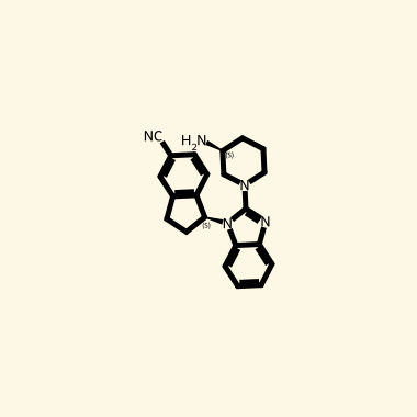 N#Cc1ccc2c(c1)CC[C@@H]2n1c(N2CCC[C@H](N)C2)nc2ccccc21